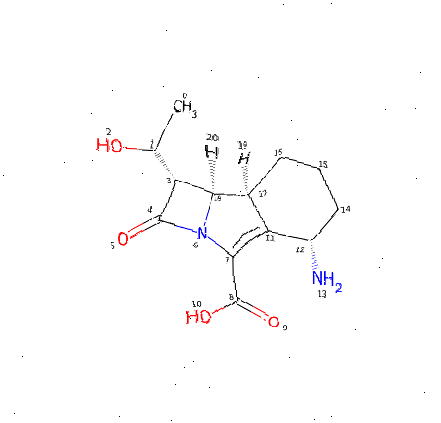 CC(O)[C@H]1C(=O)N2C(C(=O)O)=C3[C@@H](N)CCC[C@@H]3[C@H]12